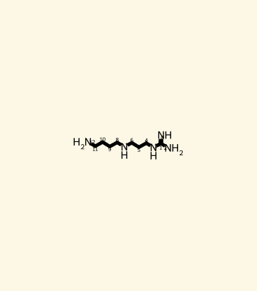 N=C(N)NCCCNCCCCN